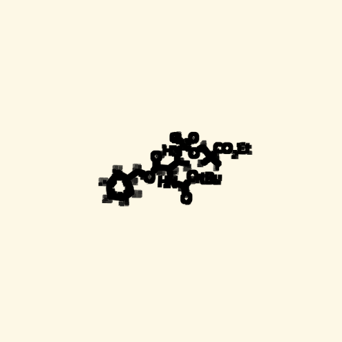 CCOC(=O)C(C)(C)COS(=O)(=O)NC(C)C(NC(=O)OC(C)(C)C)C(=O)OCc1ccccc1